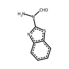 NN(C=O)c1nc2ccccc2s1